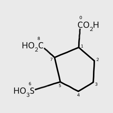 O=C(O)C1CCCC(S(=O)(=O)O)C1C(=O)O